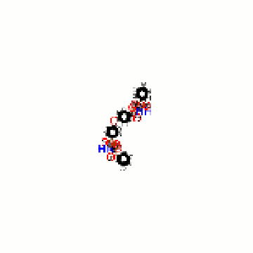 O=S(=O)(NS(=O)(=O)c1ccc(Oc2ccc(S(=O)(=O)NS(=O)(=O)c3ccccc3)cc2)cc1)c1ccccc1